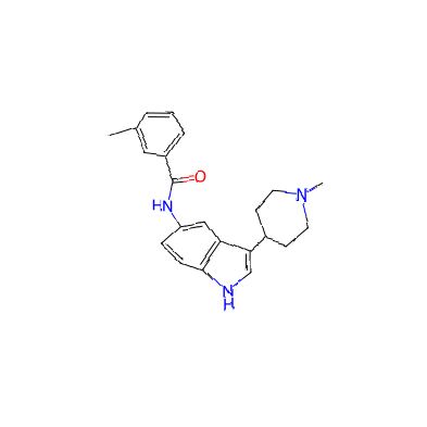 Cc1cccc(C(=O)Nc2ccc3[nH]cc(C4CCN(C)CC4)c3c2)c1